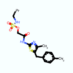 Cc1ccc(Cc2sc(NC(=O)COS(=O)(=O)NCC(C)C)nc2C)cc1